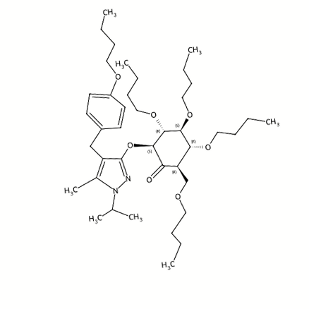 CCCCOC[C@H]1C(=O)[C@@H](Oc2nn(C(C)C)c(C)c2Cc2ccc(OCCCC)cc2)[C@H](OCCCC)[C@@H](OCCCC)[C@@H]1OCCCC